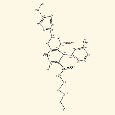 CCSCCOC(=O)C1=C(C)NC2=C(C(=O)CC(c3ccc(OC)cc3)C2)C1c1cccc(O)c1